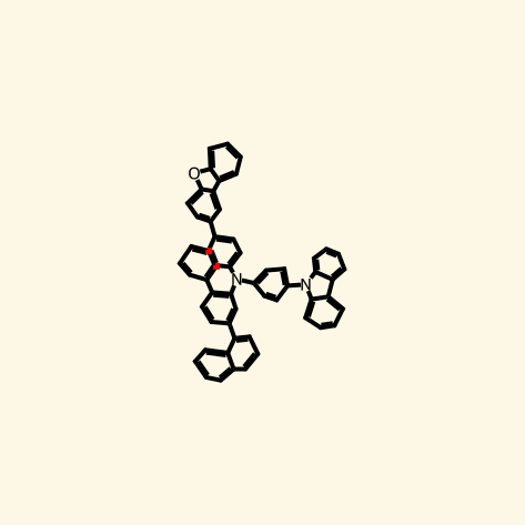 c1ccc(-c2ccc(-c3cccc4ccccc34)cc2N(c2ccc(-c3ccc4oc5ccccc5c4c3)cc2)c2ccc(-n3c4ccccc4c4ccccc43)cc2)cc1